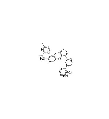 Cc1ccnc(C(C)Nc2ccc3c(c2)Cc2cccc(C4CN(c5ccc[nH]c5=O)CCO4)c2O3)n1